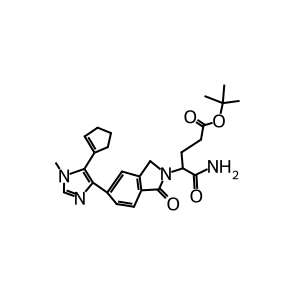 Cn1cnc(-c2ccc3c(c2)CN(C(CCC(=O)OC(C)(C)C)C(N)=O)C3=O)c1C1=CCCC1